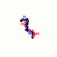 Cc1c(-c2ccc(N3CCc4cccc(C(=O)Nc5nc6ccccc6s5)c4C3)nc2C(=O)O)cnn1CC12CC3(C)CC(C)(C1)CC(OCCNC(=O)[C@H](CC(=O)O)NCCC(=O)OC(C)(C)C)(C3)C2